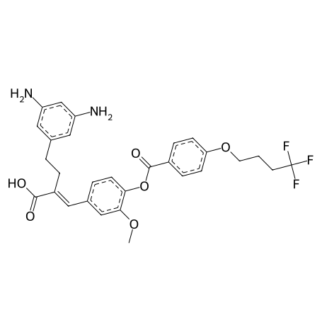 COc1cc(/C=C(\CCc2cc(N)cc(N)c2)C(=O)O)ccc1OC(=O)c1ccc(OCCCC(F)(F)F)cc1